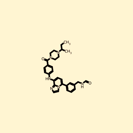 CCC(C)N1CCN(C(=O)c2ccc(Nc3ccc(-c4cccc(CNC=O)c4)n4ccnc34)cc2)CC1